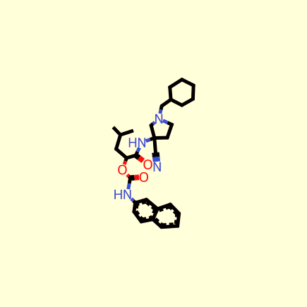 CC(C)CC(OC(=O)Nc1ccc2ccccc2c1)C(=O)NC1(C#N)CCN(CC2CCCCC2)C1